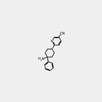 N#Cc1ccc(N2CCC(N)(c3ccccc3)CC2)nc1